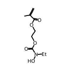 C=C(C)C(=O)OCCOC(=O)N(O)CC